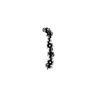 CS(=O)(=O)Cc1cn(CCCCc2ccc(OCc3coc(/C=C/c4ccc(C(F)(F)F)cc4)n3)cc2)nn1